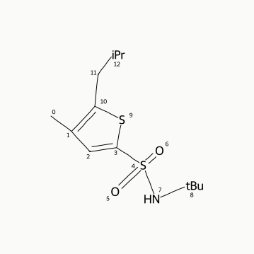 Cc1cc(S(=O)(=O)NC(C)(C)C)sc1CC(C)C